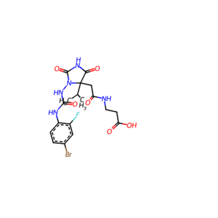 CC(C)C1(CC(=O)NCCC(=O)O)C(=O)NC(=O)N1NC(=O)Nc1ccc(Br)cc1F